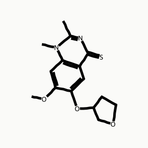 COc1cc2c(cc1OC1CCOC1)c(=S)nc(C)n2C